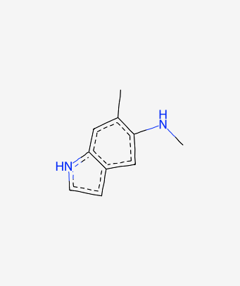 CNc1cc2cc[nH]c2cc1C